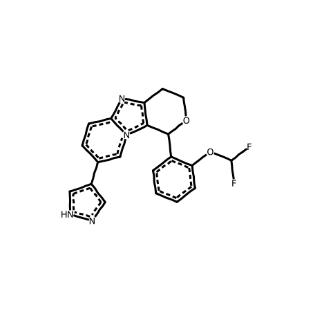 FC(F)Oc1ccccc1C1OCCc2nc3ccc(-c4cn[nH]c4)cn3c21